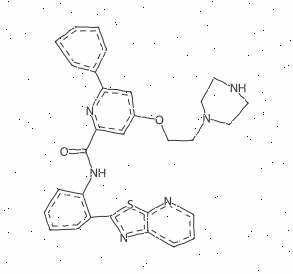 O=C(Nc1ccccc1-c1nc2cccnc2s1)c1cc(OCCN2CCNCC2)cc(-c2ccccc2)n1